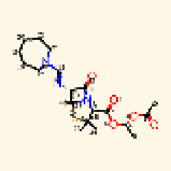 CC(=O)OC(C)OC(=O)[C@@H]1N2C(=O)[C@@H](N=CN3CCCCCC3)[C@H]2SC1(C)C